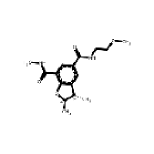 CNC(=O)c1cc(C(=O)NCCOC)cc2c1O[C@H](C)[C@H]2C